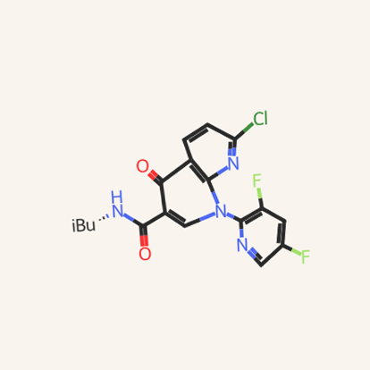 CC[C@@H](C)NC(=O)c1cn(-c2ncc(F)cc2F)c2nc(Cl)ccc2c1=O